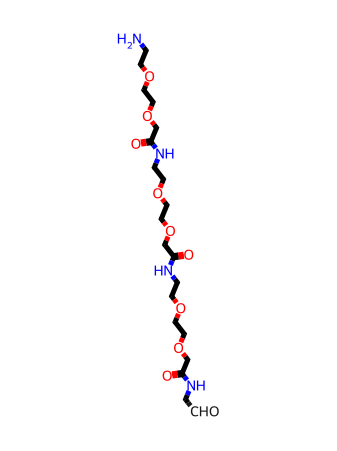 NCCOCCOCC(=O)NCCOCCOCC(=O)NCCOCCOCC(=O)NCC=O